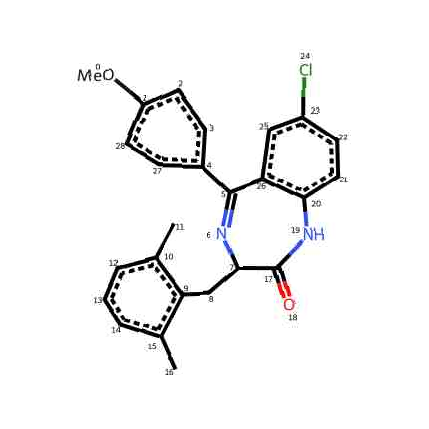 COc1ccc(C2=NC(Cc3c(C)cccc3C)C(=O)Nc3ccc(Cl)cc32)cc1